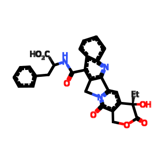 CC[C@@]1(O)C(=O)OCc2c1cc1n(c2=O)Cc2c-1nc1ccccc1c2C(=O)NC(Cc1ccccc1)C(=O)O